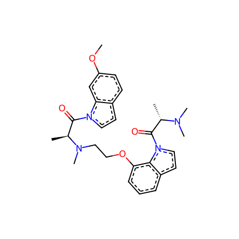 COc1ccc2ccn(C(=O)[C@H](C)N(C)CCOc3cccc4ccn(C(=O)[C@H](C)N(C)C)c34)c2c1